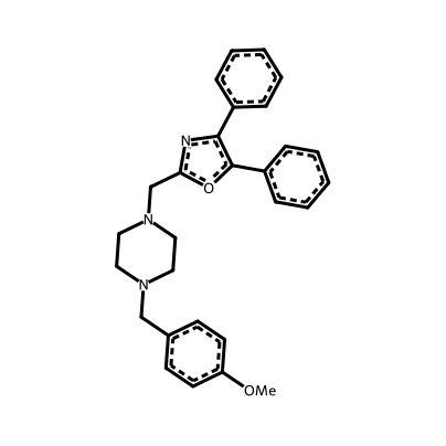 COc1ccc(CN2CCN(Cc3nc(-c4ccccc4)c(-c4ccccc4)o3)CC2)cc1